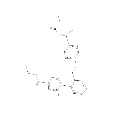 CCOC(=O)c1cc(C(=O)NCC(C)C)ccc1-c1ccccc1CSc1ccc(C(N)=NC(=O)OC(C)(C)C)cc1